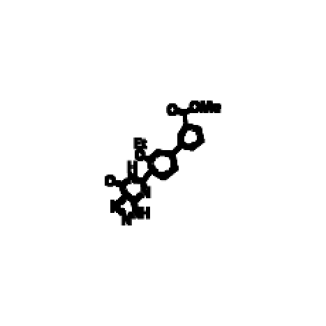 CCOc1cc(-c2cccc(C(=O)OC)c2)ccc1-c1nc2[nH]nnc2c(=O)[nH]1